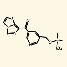 CC(C)(C)[Si](C)(C)OCc1cncc(C(=O)c2ncn3ccsc23)c1